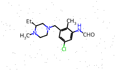 CC[C@H]1CN(Cc2cc(Cl)cc(NC=O)c2C)CCN1C